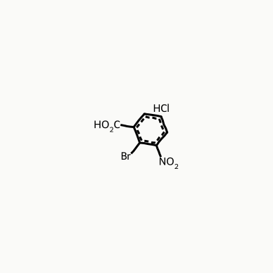 Cl.O=C(O)c1cccc([N+](=O)[O-])c1Br